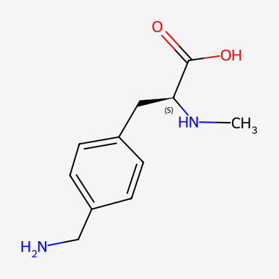 CN[C@@H](Cc1ccc(CN)cc1)C(=O)O